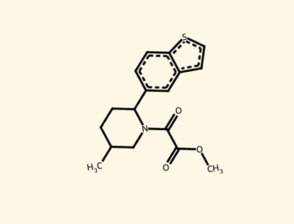 COC(=O)C(=O)N1CC(C)CCC1c1ccc2sccc2c1